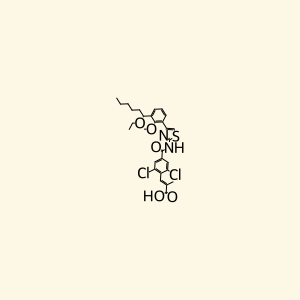 CCCCCC(OCC)c1cccc(-c2csc(NC(=O)c3cc(Cl)c(/C=C(\C)C(=O)O)c(Cl)c3)n2)c1OC